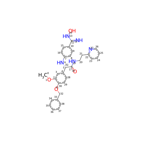 COc1cc([C@H](Nc2ccc(C(=N)NO)cc2)C(=O)NCCc2ccccn2)ccc1OCc1ccccc1